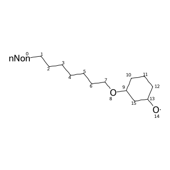 [CH2]CCCCCCCCCCCCCCCOC1CCCC([O])C1